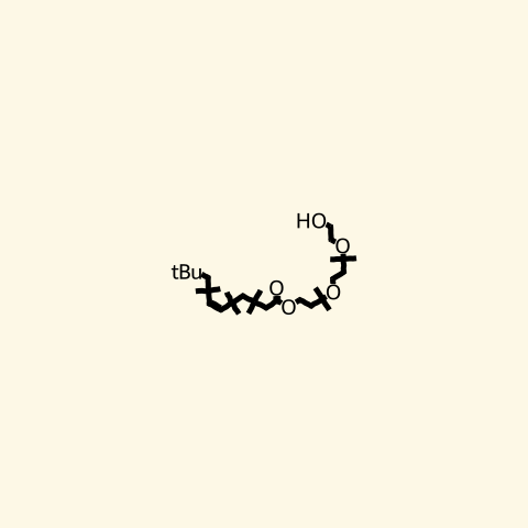 CC(C)(C)CC(C)(C)/C=C\C(C)(C)CC(C)(C)CC(=O)OCCC(C)(C)OCCC(C)(C)OCCO